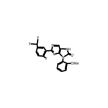 COc1ccccc1-n1c(=O)[nH]c2cnc(-c3cc(C(F)F)ccc3F)nc21